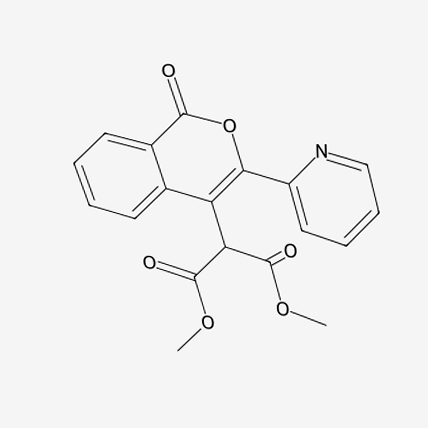 COC(=O)C(C(=O)OC)c1c(-c2ccccn2)oc(=O)c2ccccc12